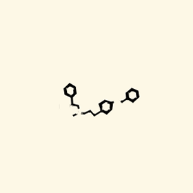 CN(CCCc1ccc(OCc2ccccc2)cc1)C[C@@H](O)c1ccccc1.Cl